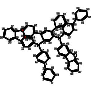 c1ccc(-c2ccc(N(c3ccc4c(c3)oc3ccccc34)c3cc(N(c4ccc(-c5ccccc5)cc4)c4ccc5c(c4)oc4ccccc45)c(-c4ccccc4)cc3-c3ccccc3)cc2)cc1